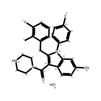 Cc1c(F)cccc1Cc1c(C(=O)N2CCNCC2)c2ccc(O)cc2n1-c1ccc(F)cc1.Cl